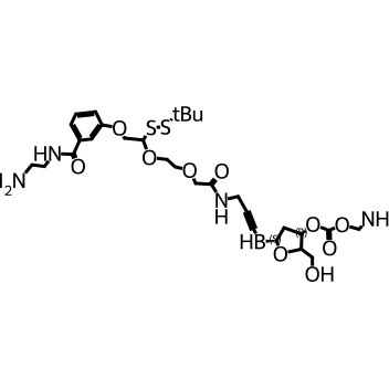 CC(C)(C)SSC(COc1cccc(C(=O)NCCN)c1)OCCOCC(=O)NCC#CB[C@H]1C[C@@H](OC(=O)OCN)C(CO)O1